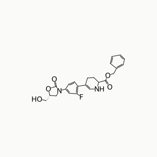 O=C(OCc1ccccc1)C1CCC(c2ccc(N3C[C@H](CO)OC3=O)cc2F)=CN1